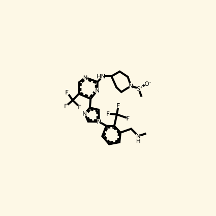 CNCc1cccc(-n2cnc(-c3nc(NC4CCN([S+](C)[O-])CC4)ncc3C(F)(F)F)c2)c1C(F)(F)F